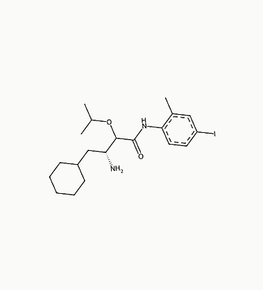 Cc1cc(I)ccc1NC(=O)C(OC(C)C)[C@H](N)CC1CCCCC1